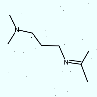 CC(C)=NCCCN(C)C